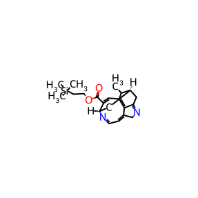 CC1C2=C3C4=CC=N[C@@H](C[C@@H]1CC3=NC4)C(C(=O)OCC[Si](C)(C)C)=C2